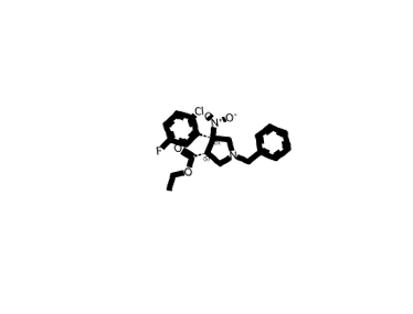 CCOC(=O)[C@H]1CN(Cc2ccccc2)C[C@]1(c1cc(F)ccc1Cl)[N+](=O)[O-]